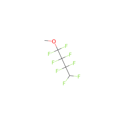 COC(F)(F)C(F)(F)C(F)(F)C(F)F